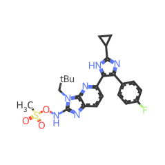 CC(C)(C)Cn1c(NOS(C)(=O)=O)nc2ccc(-c3[nH]c(C4CC4)nc3-c3ccc(F)cc3)nc21